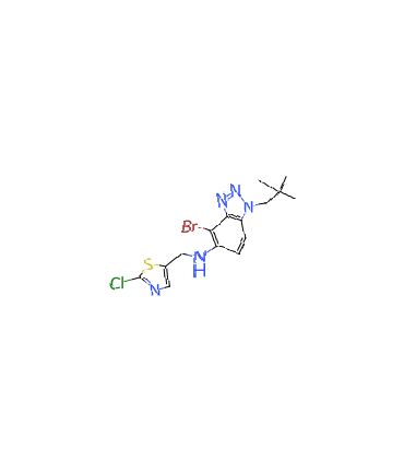 CC(C)(C)Cn1nnc2c(Br)c(NCc3cnc(Cl)s3)ccc21